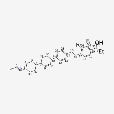 C/C=C/C1CCC(C2C=CC(c3ccc(CCc4ccc(C(O)CC)c(F)c4F)cc3)CC2)CC1